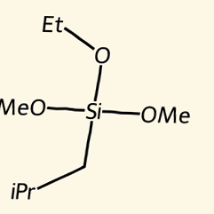 CCO[Si](CC(C)C)(OC)OC